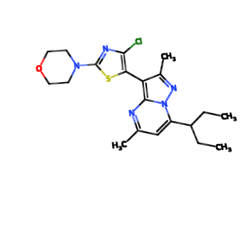 CCC(CC)c1cc(C)nc2c(-c3sc(N4CCOCC4)nc3Cl)c(C)nn12